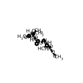 C#Cc1cc(Nc2nccc(Oc3ccc(NC(=O)Nc4cc(C(C)(C)C)nn4-c4ccc(OC)cc4)c4ccccc34)n2)cc(C(=O)NCCOCCOC)c1